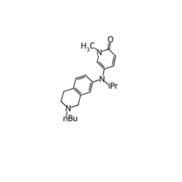 CCCCN1CCc2ccc(N(c3ccc(=O)n(C)c3)C(C)C)cc2C1